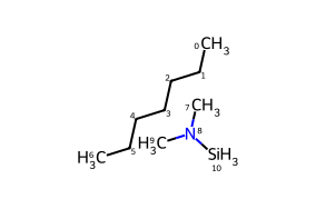 CCCCCCC.CN(C)[SiH3]